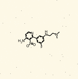 CN(C)CCNc1cc(F)cc(-c2nccc(N)c2[N+](=O)[O-])c1